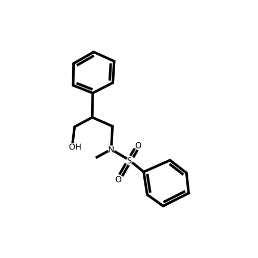 CN(CC(CO)c1ccccc1)S(=O)(=O)c1ccccc1